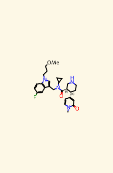 COCCCn1cc(CN(C(=O)[C@H]2CNCC[C@@H]2c2ccn(C)c(=O)c2)C2CC2)c2cc(F)ccc21